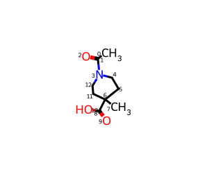 CC(=O)N1CCC(C)(C(=O)O)CC1